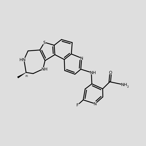 C[C@@H]1CNc2c(sc3ccc4nc(Nc5cc(F)ncc5C(N)=O)ccc4c23)CN1